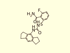 NC(=O)c1c(F)cccc1SNC(=O)Nc1c2c(cc3c1CCC3)CCC2